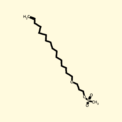 C=CCCCCCCCCCCCCCCOCCCOS(C)(=O)=O